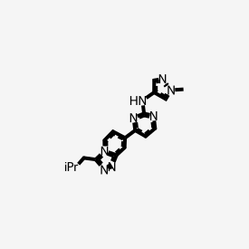 CC(C)Cc1nnc2cc(-c3ccnc(Nc4cnn(C)c4)n3)ccn12